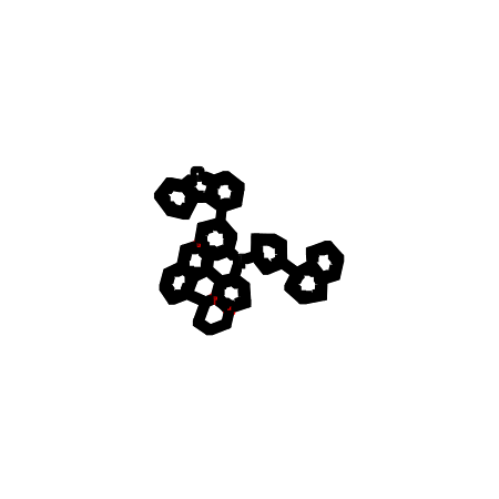 c1cc(-c2cccc3ccccc23)cc(N(c2cccc(-c3cccc4oc5ccccc5c34)c2)c2ccccc2-c2cccc3cccc(C4CCCCC4)c23)c1